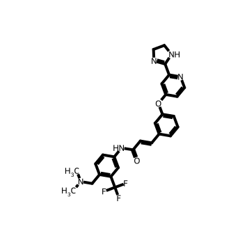 CN(C)Cc1ccc(NC(=O)/C=C/c2cccc(Oc3ccnc(C4=NCCN4)c3)c2)cc1C(F)(F)F